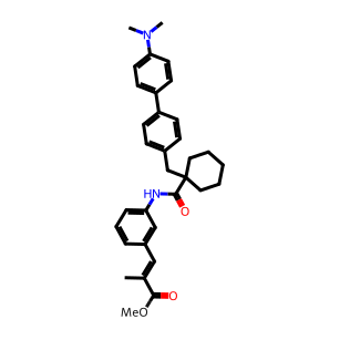 COC(=O)/C(C)=C/c1cccc(NC(=O)C2(Cc3ccc(-c4ccc(N(C)C)cc4)cc3)CCCCC2)c1